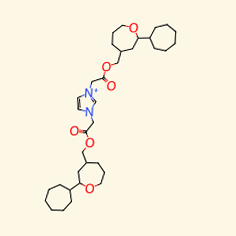 O=C(Cn1cc[n+](CC(=O)OCC2CCCOC(C3CCCCCC3)C2)c1)OCC1CCCOC(C2CCCCCC2)C1